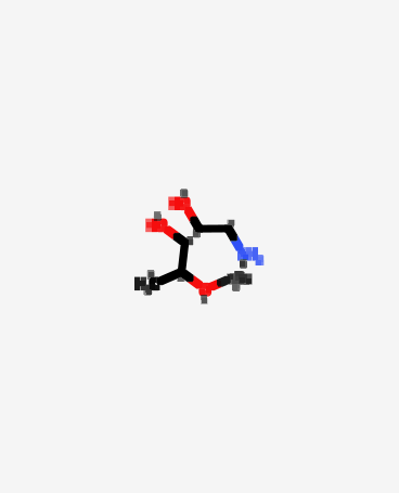 CCCCOC(C)CO.NCCO